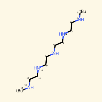 CC(C)(C)NCCNCCNCCNCCNC(C)(C)C